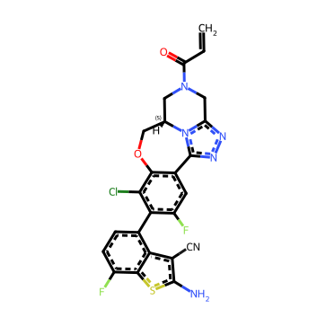 C=CC(=O)N1Cc2nnc3n2[C@H](COc2c-3cc(F)c(-c3ccc(F)c4sc(N)c(C#N)c34)c2Cl)C1